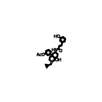 CC(=O)Oc1cccc(C23CCN(CC4CC4)CC2(O)CCC(NC(=O)/C=C/c2cccc(O)c2)C3)c1